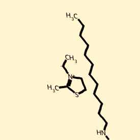 CCCCCCCCCCCCNC.C[CH][N+]1=C(C)SCC1